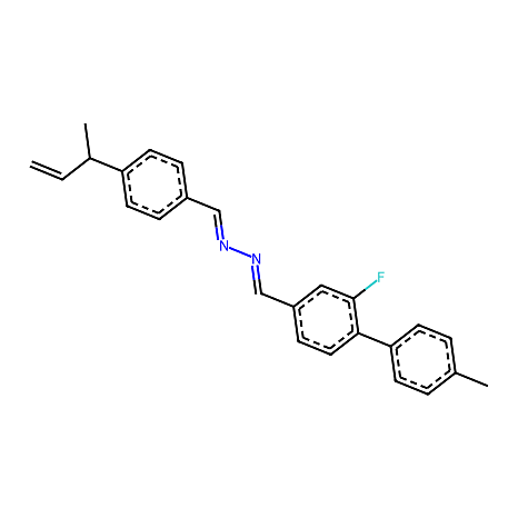 C=CC(C)c1ccc(C=NN=Cc2ccc(-c3ccc(C)cc3)c(F)c2)cc1